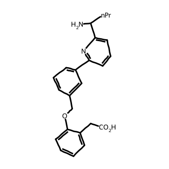 CCCC(N)c1cccc(-c2cccc(COc3ccccc3CC(=O)O)c2)n1